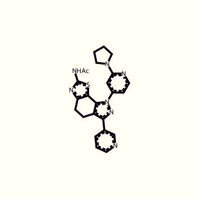 CC(=O)Nc1nc2c(s1)-c1c(c(-c3cccnc3)nn1-c1ccnc(N3CCCC3)c1)CC2